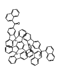 O=C(c1ccc2c(c1)[C@]1(c3ccccc3-2)c2ccccc2-c2c1c1c(c3c2[C@@]2(c4ccccc4-c4ccc(C(=O)c5cccc6ccccc56)cc42)c2ccccc2-3)[C@@]2(c3ccccc3-c3ccc(C(=O)c4cccc5ccccc45)cc32)c2ccccc2-1)c1cccc2ccccc12